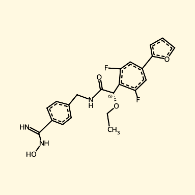 CCO[C@H](C(=O)NCc1ccc(C(=N)NO)cc1)c1c(F)cc(-c2ccco2)cc1F